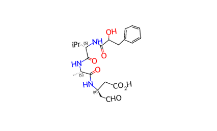 CC(C)[C@H](NC(=O)C(O)Cc1ccccc1)C(=O)N[C@@H](C)C(=O)N[C@H](CC=O)CC(=O)O